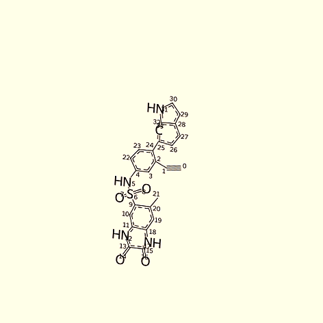 C#Cc1cc(NS(=O)(=O)c2cc3[nH]c(=O)c(=O)[nH]c3cc2C)ccc1-c1ccc2cc[nH]c2c1